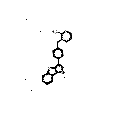 Cc1ncccc1Cc1ccc(-c2n[nH]c3c2sc2ccccc23)cc1